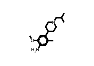 COc1cc(C2CCN(C[C](C)C)CC2)c(C)cc1N